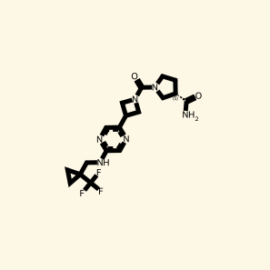 NC(=O)[C@H]1CCN(C(=O)N2CC(c3cnc(NCC4(C(F)(F)F)CC4)cn3)C2)C1